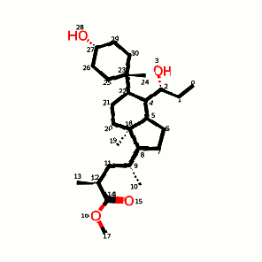 CC[C@@H](O)C1C2CCC([C@H](C)C[C@H](C)C(=O)OC)[C@@]2(C)CCC1[C@]1(C)CC[C@H](O)CC1